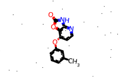 Cc1cccc(Oc2ccnc3[nH]c(=O)oc23)c1